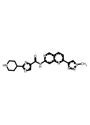 Cn1cc(-c2ccc3cnc(NC(=O)c4coc(C5CCNCC5)n4)cc3n2)nn1